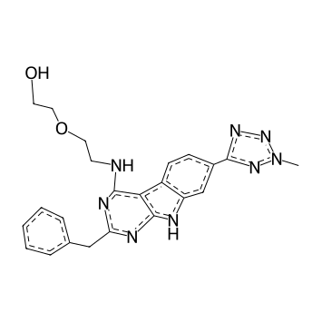 Cn1nnc(-c2ccc3c(c2)[nH]c2nc(Cc4ccccc4)nc(NCCOCCO)c23)n1